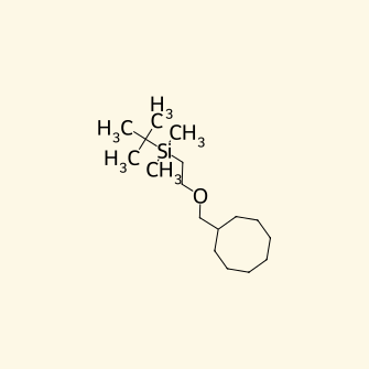 CC(C)(C)[Si](C)(C)CCOCC1CCCCCCC1